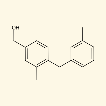 Cc1cccc(Cc2ccc(CO)cc2C)c1